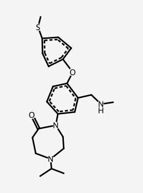 CNCc1cc(N2CCN(C(C)C)CCC2=O)ccc1Oc1ccc(SC)cc1